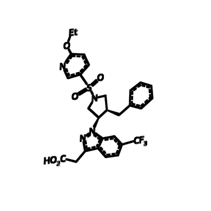 CCOc1ccc(S(=O)(=O)N2C[C@@H](Cc3ccccc3)[C@@H](n3nc(CC(=O)O)c4ccc(C(F)(F)F)cc43)C2)cn1